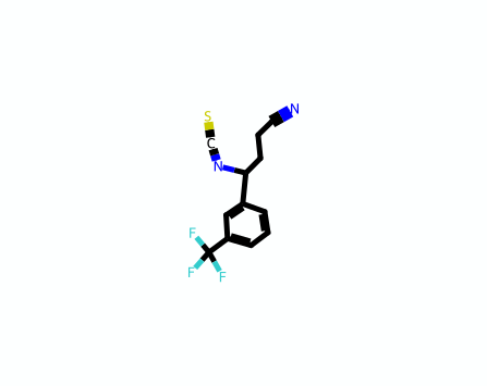 N#CCCC(N=C=S)c1cccc(C(F)(F)F)c1